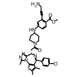 COC(=O)c1ccc(NC2CCN(C(=O)C[C@@H]3N=C(c4ccc(Cl)cc4)c4c(sc(C)c4C)-n4c(C)nnc43)CC2)cc1C#CCN